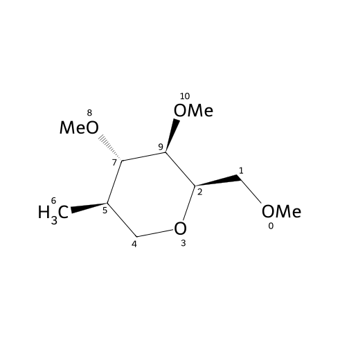 COC[C@H]1OC[C@@H](C)[C@H](OC)[C@H]1OC